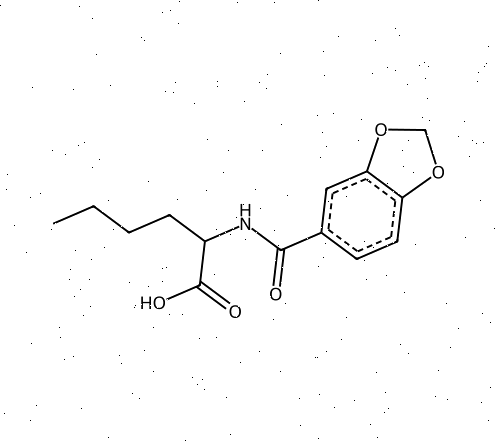 CCCCC(NC(=O)c1ccc2c(c1)OCO2)C(=O)O